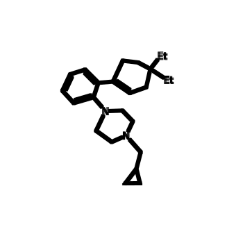 CCC1(CC)CC=C(c2ccccc2N2CCN(CC3CC3)CC2)CC1